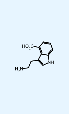 NCCc1c[nH]c2cccc(C(=O)O)c12